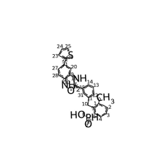 Cc1cccc([PH](=O)O)c1Cc1cccc(C(=O)Nc2cc(-c3cccs3)ccc2N)c1